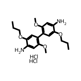 CCCOc1cc(-c2cc(OCCC)c(N)cc2OC)c(OC)cc1N.Cl.Cl